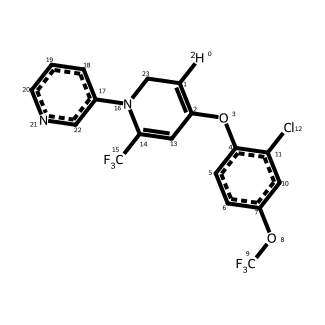 [2H]C1=C(Oc2ccc(OC(F)(F)F)cc2Cl)C=C(C(F)(F)F)N(c2cccnc2)C1